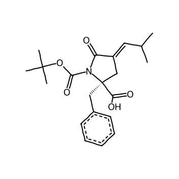 CC(C)C=C1C[C@@](Cc2ccccc2)(C(=O)O)N(C(=O)OC(C)(C)C)C1=O